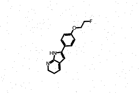 FCCOc1ccc(-c2cc3c([nH]2)=NCCC=3)cc1